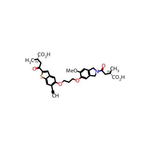 C#Cc1cc2sc(C(=O)C[C@H](C)C(=O)O)cc2cc1OCCCOc1cc2c(cc1OC)CN(C(=O)C[C@H](C)C(=O)O)C2